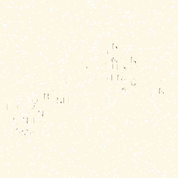 COC(=O)N[C@@H](C)C(=O)N1CCC[C@H]1c1ncc(-c2ccc(-c3ccc(-c4cnc([C@@H]5CCCN5C(=O)[C@H](Cc5ccncc5)OC(N)=O)[nH]4)cc3)cc2)[nH]1